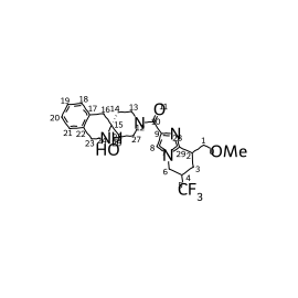 COCC1CC(C(F)(F)F)Cn2cc(C(=O)N3CC[C@]4(Cc5ccccc5CN4)[C@H](O)C3)nc21